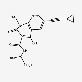 Cn1c(=O)c(C(=O)NC(C(=O)O)C(C)(C)C)c(O)c2cc(C#CC3CC3)cnc21